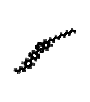 CCCCCCCCCCc1ccc(OC(=O)c2cnc(-c3ccc(CCCC)cc3)cn2)c(F)c1